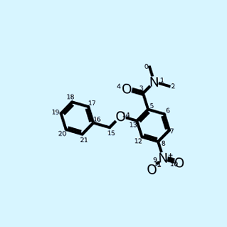 CN(C)C(=O)c1ccc([N+](=O)[O-])cc1OCc1ccccc1